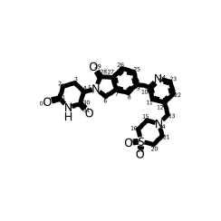 O=C1CCC(N2Cc3cc(-c4cc(CN5CCS(=O)(=O)CC5)ccn4)ccc3C2=O)C(=O)N1